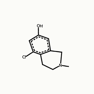 CN1CCc2c(Cl)cc(O)cc2C1